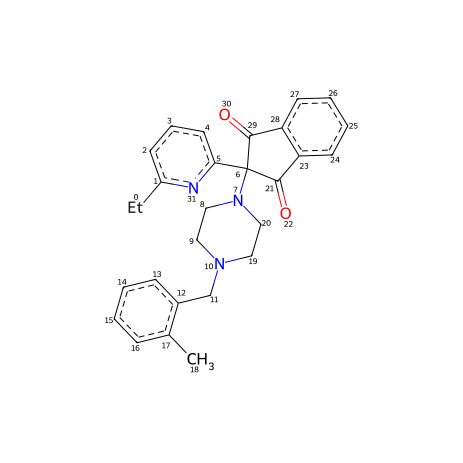 CCc1cccc(C2(N3CCN(Cc4ccccc4C)CC3)C(=O)c3ccccc3C2=O)n1